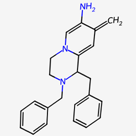 C=C1C=C2C(Cc3ccccc3)N(Cc3ccccc3)CCN2C=C1N